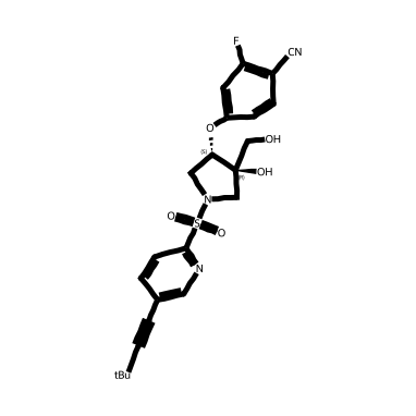 CC(C)(C)C#Cc1ccc(S(=O)(=O)N2C[C@H](Oc3ccc(C#N)c(F)c3)[C@](O)(CO)C2)nc1